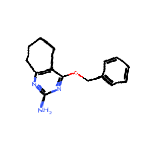 Nc1nc2c(c(OCc3ccccc3)n1)CCCC2